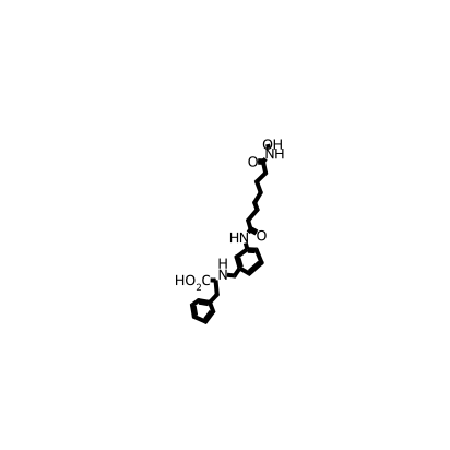 O=C(CCCCCCC(=O)Nc1cccc(CNC(Cc2ccccc2)C(=O)O)c1)NO